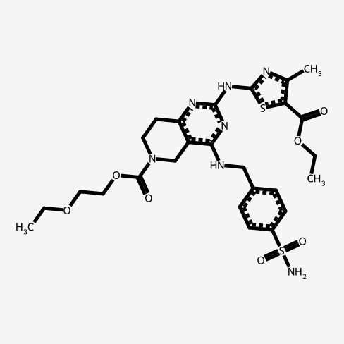 CCOCCOC(=O)N1CCc2nc(Nc3nc(C)c(C(=O)OCC)s3)nc(NCc3ccc(S(N)(=O)=O)cc3)c2C1